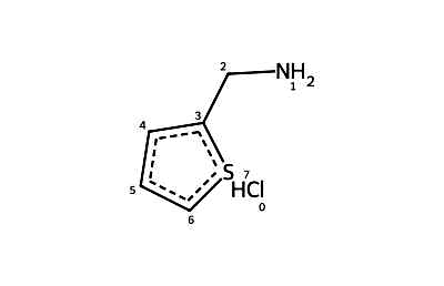 Cl.NCc1cccs1